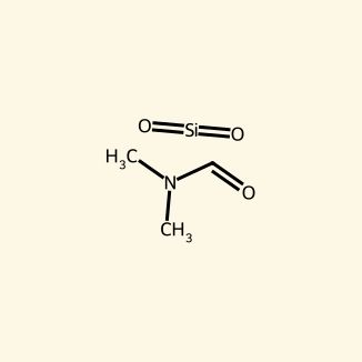 CN(C)C=O.O=[Si]=O